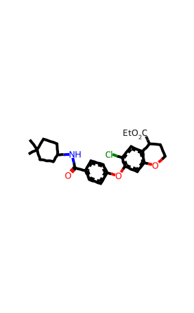 CCOC(=O)C1CCOc2cc(Oc3ccc(C(=O)NC4CCC(C)(C)CC4)cc3)c(Cl)cc21